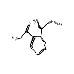 CCCCCCCC(N)c1ccccc1C(N)=O